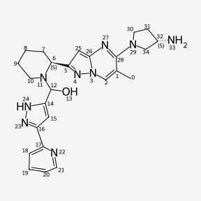 Cc1cn2nc([C@@H]3CCCCN3C(O)c3cc(-c4ccccn4)n[nH]3)cc2nc1N1CC[C@H](N)C1